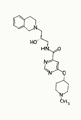 CN1CCC(Oc2cc(C(=O)NC[C@H](O)CN3CCc4ccccc4C3)ncn2)CC1